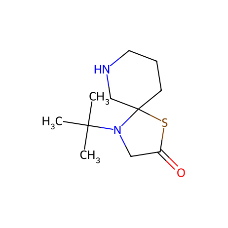 CC(C)(C)N1CC(=O)SC12CCCNC2